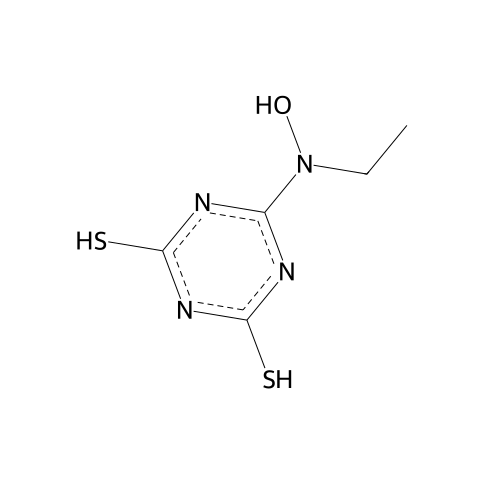 CCN(O)c1nc(S)nc(S)n1